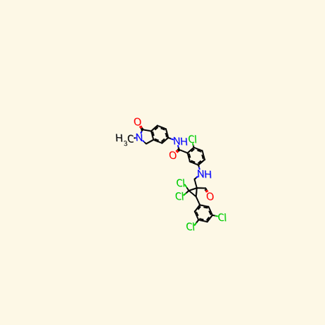 CN1Cc2cc(NC(=O)c3cc(NCC4(C=O)C(c5cc(Cl)cc(Cl)c5)C4(Cl)Cl)ccc3Cl)ccc2C1=O